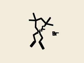 C=CC[N+]1(CC=C)CC(C)(C)CC(C)(C)C1.[Br-]